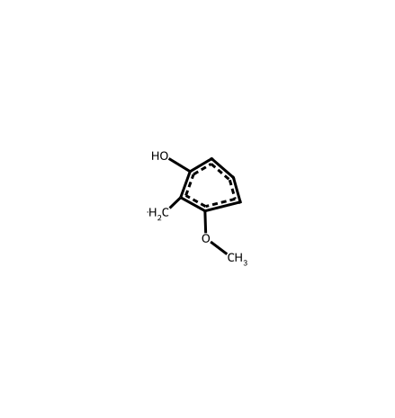 [CH2]c1c(O)cccc1OC